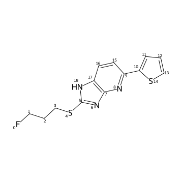 FCCCSc1nc2nc(-c3cccs3)ccc2[nH]1